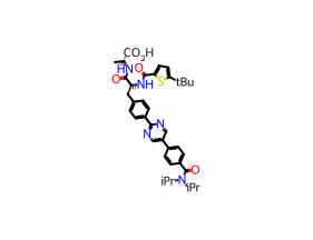 CC(C)N(C(=O)c1ccc(-c2cnc(-c3ccc(C[C@H](NC(=O)c4ccc(C(C)(C)C)s4)C(=O)N[C@H](C)C(=O)O)cc3)nc2)cc1)C(C)C